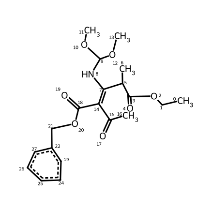 CCOC(=O)C(C)C(NC(OC)OC)=C(C(C)=O)C(=O)OCc1ccccc1